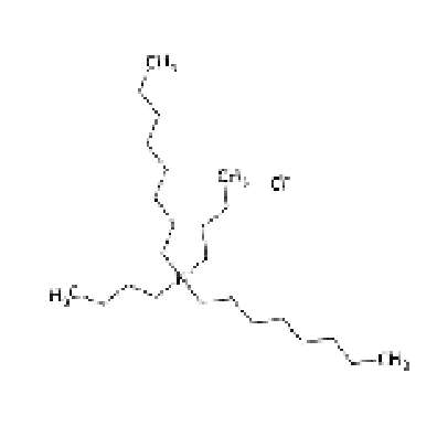 CCCCCCCC[N+](CCCC)(CCCC)CCCCCCCC.[Cl-]